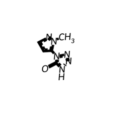 Cn1nccc1-n1nn[nH]c1=O